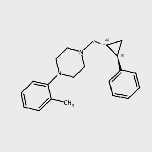 Cc1ccccc1N1CCN(C[C@@H]2C[C@H]2c2ccccc2)CC1